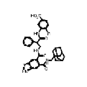 O=C(O)c1ccc(Cl)c(NC(=O)C(CNC(=O)c2cc3nc[nH]c3cc2C(=O)NCC23CC4CC(CC(C4)C2)C3)c2ccccc2)c1